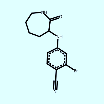 N#Cc1ccc(NC2CCCCNC2=O)cc1Br